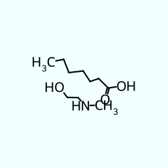 CCCCCCC(=O)O.CNCCO